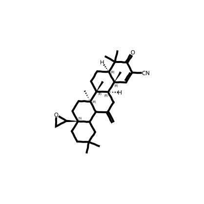 C=C1C[C@@H]2[C@@]3(C)C=C(C#N)C(=O)C(C)(C)[C@@H]3CC[C@@]2(C)[C@]2(C)CC[C@@]3(C4CO4)CCC(C)(C)CC3C12